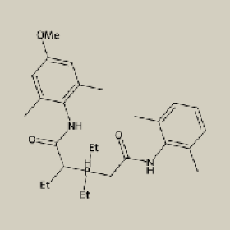 CCC(C(=O)Nc1c(C)cc(OC)cc1C)[PH](CC)(CC)CC(=O)Nc1c(C)cccc1C